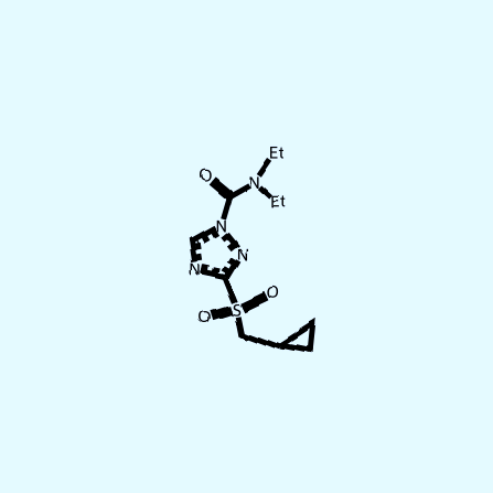 CCN(CC)C(=O)n1cnc(S(=O)(=O)CC2CC2)n1